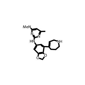 CNc1cc(C)nc(Nc2cc3c(c(C4=CCNCCC4)c2)OCO3)n1